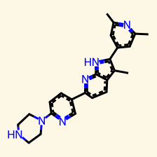 Cc1cc(-c2[nH]c3nc(-c4ccc(N5CCNCC5)nc4)ccc3c2C)cc(C)n1